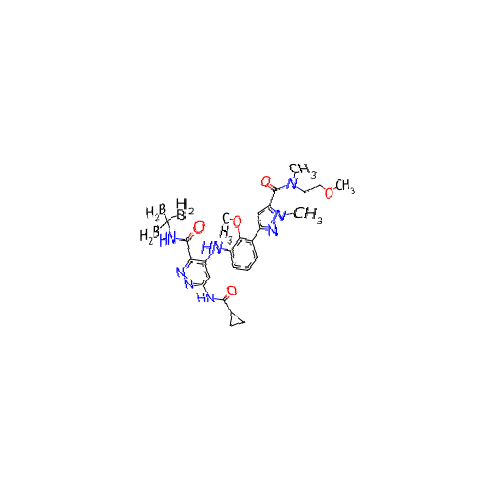 BC(B)(B)NC(=O)c1nnc(NC(=O)C2CC2)cc1Nc1cccc(-c2cc(C(=O)N(C)CCOC)n(C)n2)c1OC